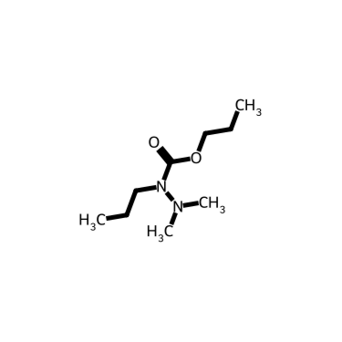 CCCOC(=O)N(CCC)N(C)C